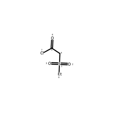 CCS(=O)(=O)CC(=O)Cl